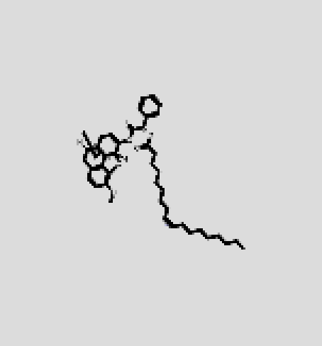 CCCCCCCC/C=C\CCCCCCCC(=O)O[C@H](C(=O)OC1=CC[C@@]2(O)[C@H]3Cc4ccc(OC)c5c4[C@@]2(CCC3C)[C@H]1O5)c1ccccc1